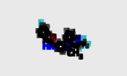 CN(c1cc(C(F)(F)F)nc2ccccc12)[C@H]1CC[C@@H](NC(=O)Cc2ccc(F)cc2)CC1